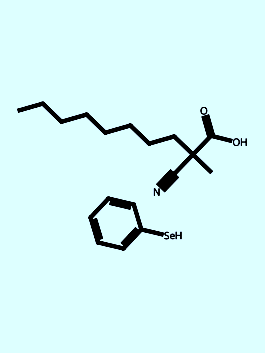 CCCCCCCCC(C)(C#N)C(=O)O.[SeH]c1ccccc1